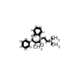 C[C@H]1C(=O)N(CCN(C)C)c2ccccc2S[C@H]1c1ccccc1